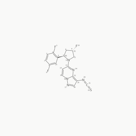 Fc1ccc(F)c([C@H]2C[C@H](F)CN2c2ccn3ncc(N=C=S)c3n2)c1